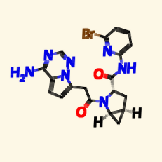 Nc1ncnn2c(CC(=O)N3[C@@H]4C[C@@H]4C[C@H]3C(=O)Nc3cccc(Br)n3)ccc12